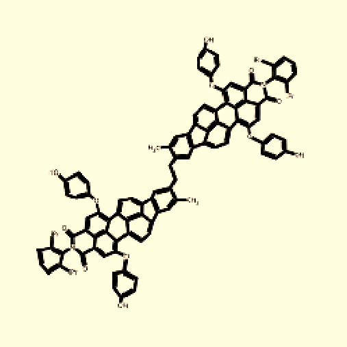 Cc1cc2c(cc1CCc1cc3c(cc1C)-c1ccc4c5c(Oc6ccc(O)cc6)cc6c7c(cc(Oc8ccc(O)cc8)c(c8ccc-3c1c48)c75)C(=O)N(c1c(C(C)C)cccc1C(C)C)C6=O)-c1ccc3c4c(Oc5ccc(O)cc5)cc5c6c(cc(Oc7ccc(O)cc7)c(c7ccc-2c1c73)c64)C(=O)N(c1c(C(C)C)cccc1C(C)C)C5=O